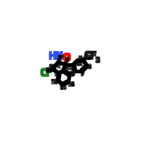 CC1NOC1(c1cccc(C(F)(F)F)c1)c1ccccc1CCl